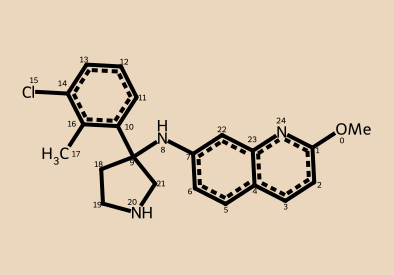 COc1ccc2ccc(NC3(c4cccc(Cl)c4C)CCNC3)cc2n1